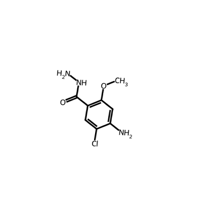 COc1cc(N)c(Cl)cc1C(=O)NN